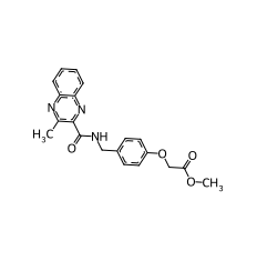 COC(=O)COc1ccc(CNC(=O)c2nc3ccccc3nc2C)cc1